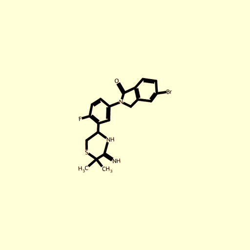 CC1(C)SCC(c2cc(N3Cc4cc(Br)ccc4C3=O)ccc2F)NC1=N